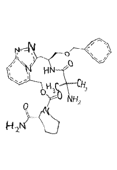 CC(C)(N)C(=O)N[C@H](COCc1ccccc1)c1nnc2cccc(COC(=O)N3CCC[C@@H]3C(N)=O)n12